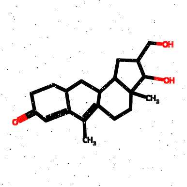 CC1=C2CCC3(C)C(O)C(CO)CC3C2CC2CCC(=O)C=C12